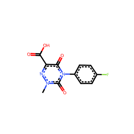 Cn1nc(C(=O)O)c(=O)n(-c2ccc(F)cc2)c1=O